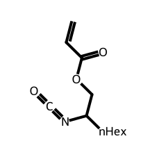 C=CC(=O)OCC(CCCCCC)N=C=O